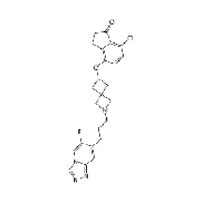 O=C1CCc2c(OC3CC4(C3)CN(CCCc3cc5nncn5cc3F)C4)ccc(Cl)c21